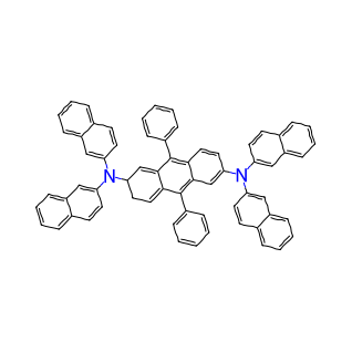 C1=c2c(-c3ccccc3)c3ccc(N(c4ccc5ccccc5c4)c4ccc5ccccc5c4)cc3c(-c3ccccc3)c2=CCC1N(c1ccc2ccccc2c1)c1ccc2ccccc2c1